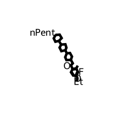 CCCCCC1CCC(C2CCC(C3CCC(CC(=O)c4ccc(OCC)c(F)c4C)CC3)CC2)CC1